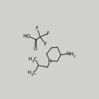 CC(C)CN1CCCC(N)C1.O=C(O)C(F)(F)F